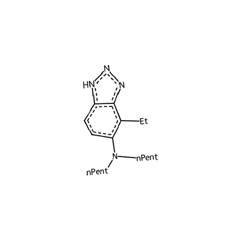 CCCCCN(CCCCC)c1ccc2[nH]nnc2c1CC